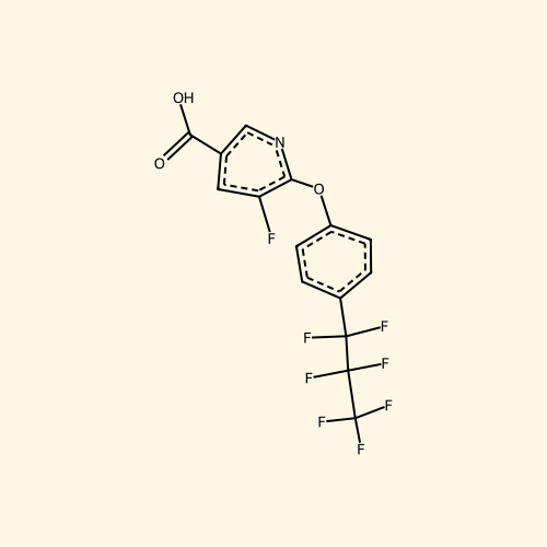 O=C(O)c1cnc(Oc2ccc(C(F)(F)C(F)(F)C(F)(F)F)cc2)c(F)c1